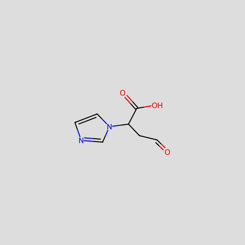 O=CCC(C(=O)O)n1ccnc1